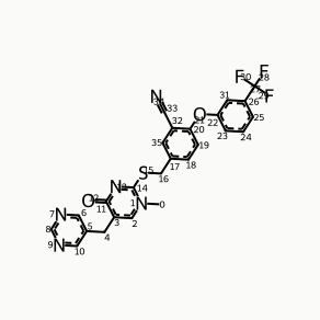 Cn1cc(Cc2cncnc2)c(=O)nc1SCc1ccc(Oc2cccc(C(F)(F)F)c2)c(C#N)c1